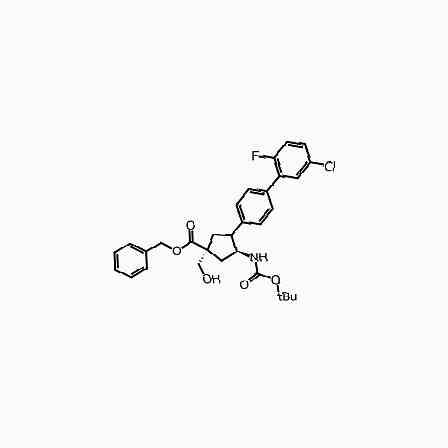 CC(C)(C)OC(=O)N[C@H]1C[C@@](CO)(C(=O)OCc2ccccc2)CC1c1ccc(-c2cc(Cl)ccc2F)cc1